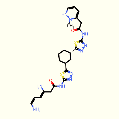 CN1NC=CC=C1CC(=O)Nc1nnc([C@H]2CCC[C@H](c3nnc(NC(=O)C/C(N)=C/C=C\N)s3)C2)s1